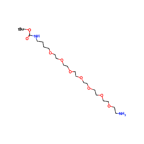 CC(C)(C)OC(=O)NCCCCOCCOCCOCCOCCOCCOCCOCCN